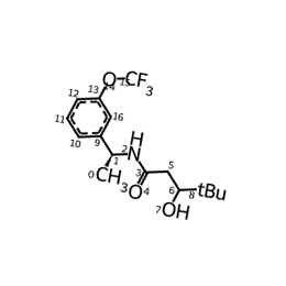 C[C@H](NC(=O)CC(O)C(C)(C)C)c1cccc(OC(F)(F)F)c1